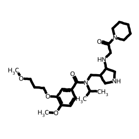 COCCCOc1cc(C(=O)N(CC2CNCC2NCC(=O)N2CCCCC2)C(C)C)ccc1OC